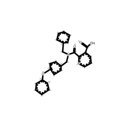 O=C(O)c1cccnc1C(=O)N(Cc1ccccc1)Cc1ccc(Oc2ccccc2)cc1